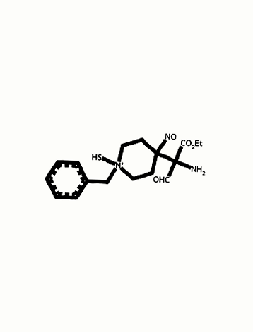 CCOC(=O)C(N)(C=O)C1(N=O)CC[N+](S)(Cc2ccccc2)CC1